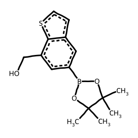 CC1(C)OB(c2cc(CO)c3sccc3c2)OC1(C)C